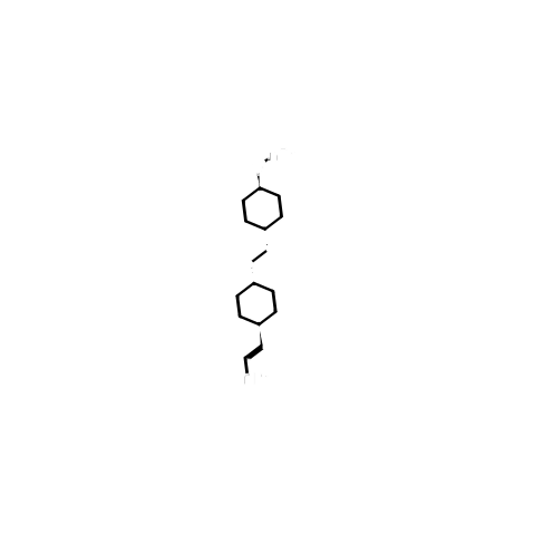 CCCC=C[C@H]1CC[C@H](CC[C@H]2CC[C@H](OCCC)CC2)CC1